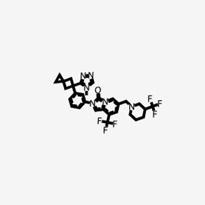 Cn1cnnc1C1(c2cccc(-n3cc4c(C(F)(F)F)cc(CN5CCCC(C(F)(F)F)C5)cn4c3=O)c2)CC2(CC2)C1